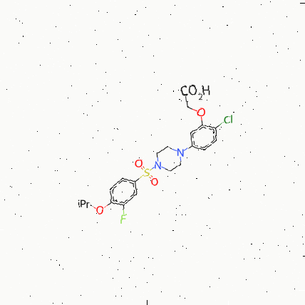 CC(C)Oc1ccc(S(=O)(=O)N2CCN(c3ccc(Cl)c(OCC(=O)O)c3)CC2)cc1F